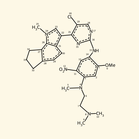 COc1cc(N(C)CCN(C)C)c([N+](=O)[O-])cc1Nc1ncc(Cl)c(-c2cn(C)c3c4c(ccc23)CCC4)n1